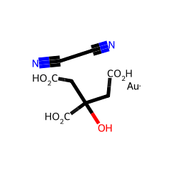 N#CC#N.O=C(O)CC(O)(CC(=O)O)C(=O)O.[Au]